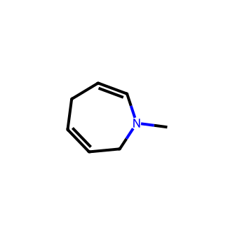 CN1C=CCC=CC1